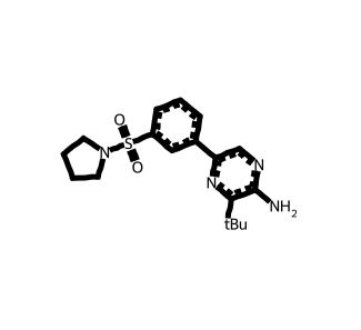 CC(C)(C)c1nc(-c2cccc(S(=O)(=O)N3CCCC3)c2)cnc1N